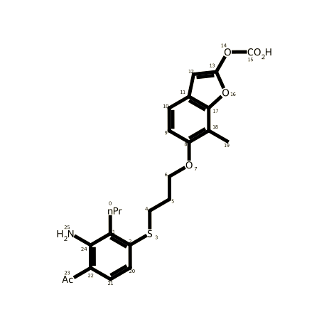 CCCc1c(SCCCOc2ccc3cc(OC(=O)O)oc3c2C)ccc(C(C)=O)c1N